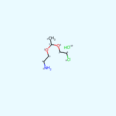 CC(OCCN)OCCCl.Cl